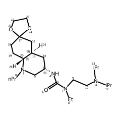 CCCN1C[C@@H](NC(=O)N(CC)CCN(C(C)C)C(C)C)C[C@@H]2CC3(CC[C@H]21)OCCO3